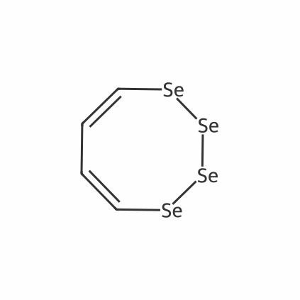 C1=C\[Se][Se][Se][Se]\C=C/1